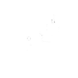 CC(C)C(=O)Cc1ccc(CN(C)C(C)C)s1